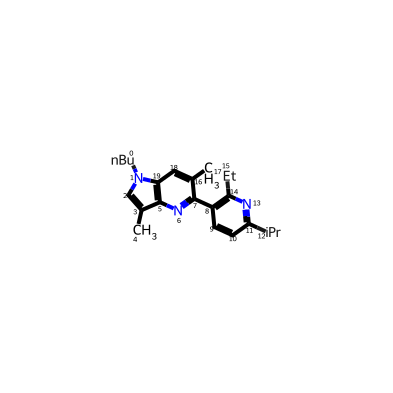 CCCCn1cc(C)c2nc(-c3ccc(C(C)C)nc3CC)c(C)cc21